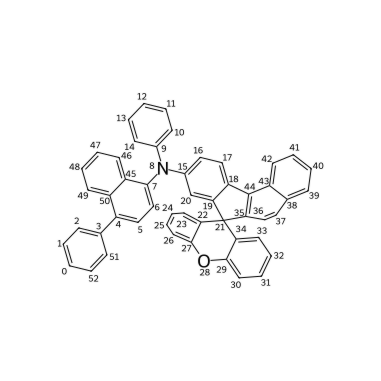 c1ccc(-c2ccc(N(c3ccccc3)c3ccc4c(c3)C3(c5ccccc5Oc5ccccc53)c3ccc5ccccc5c3-4)c3ccccc23)cc1